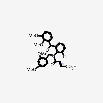 COc1ccc(CN(C(=O)/C=C/C(=O)O)c2c(Cl)cccc2C(O)c2cccc(OC)c2OC)c(OC)c1